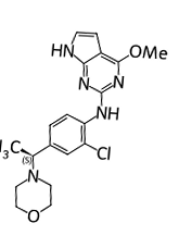 COc1nc(Nc2ccc([C@H](C)N3CCOCC3)cc2Cl)nc2[nH]ccc12